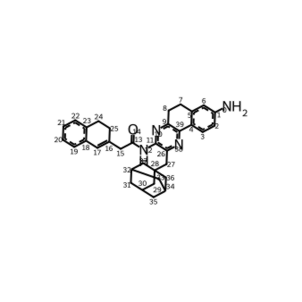 Nc1ccc2c(c1)CCc1nc(NC(=O)CC3=Cc4ccccc4CC3)c(CC34CC5CC(CC(C5)C3)C4)nc1-2